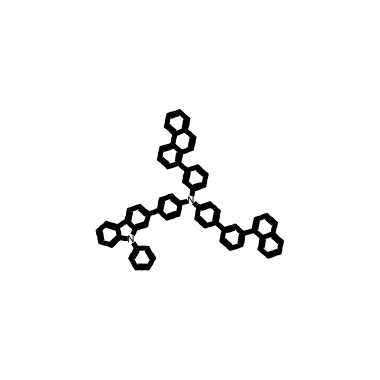 c1ccc(-n2c3ccccc3c3ccc(-c4ccc(N(c5ccc(-c6cccc(-c7cccc8ccccc78)c6)cc5)c5cccc(-c6cccc7c6ccc6ccccc67)c5)cc4)cc32)cc1